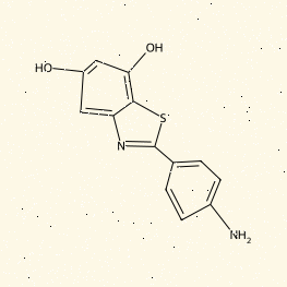 Nc1ccc(-c2nc3cc(O)cc(O)c3s2)cc1